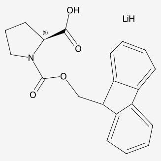 O=C(O)[C@@H]1CCCN1C(=O)OCC1c2ccccc2-c2ccccc21.[LiH]